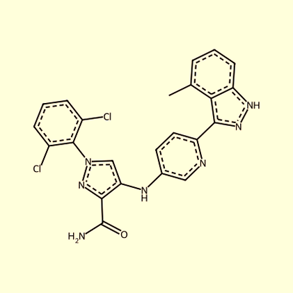 Cc1cccc2[nH]nc(-c3ccc(Nc4cn(-c5c(Cl)cccc5Cl)nc4C(N)=O)cn3)c12